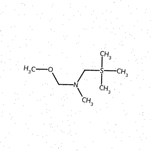 COCN(C)CS(C)(C)C